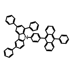 c1ccc(-c2ccc3c(c2)c2cc(-c4ccccc4)cc(-c4ccccc4)c2n3-c2ccc(-c3c4ccccc4c(-c4ccccc4)c4ccccc34)cc2)cc1